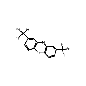 [2H]C([2H])([2H])c1ccc2c(c1)Nc1cc(C([2H])([2H])[2H])ccc1O2